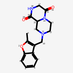 Cc1oc2ccccc2c1CN1CCN2C(=O)CNC(=O)C2C1